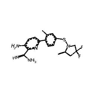 Cc1cc(SN2CC(F)(F)CC2C)ccc1-c1ccc(N)c(C(=N)N)n1